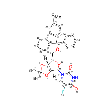 CCCC1(CCC)O[C@H]2[C@H](O1)[C@@H](COC(c1ccccc1)(c1ccccc1)c1ccc(OC)cc1)O[C@H]2n1cc(F)c(=O)[nH]c1=O